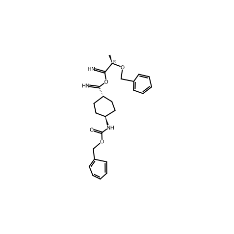 C[C@@H](OCc1ccccc1)C(=N)OC(=N)[C@H]1CC[C@H](NC(=O)OCc2ccccc2)CC1